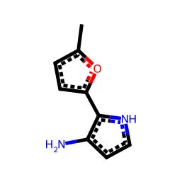 Cc1ccc(-c2[nH]ccc2N)o1